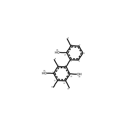 Cc1cccc(-c2c(C)c(O)c(C)c(C)c2O)c1O